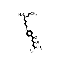 C=CCN(C)CC=CCOc1ccc(C(=O)CC(O)C=C(C)C)cc1